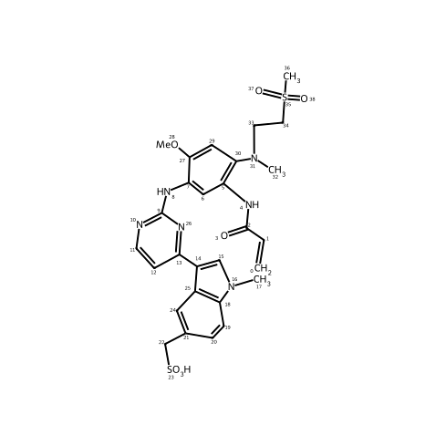 C=CC(=O)Nc1cc(Nc2nccc(-c3cn(C)c4ccc(CS(=O)(=O)O)cc34)n2)c(OC)cc1N(C)CCS(C)(=O)=O